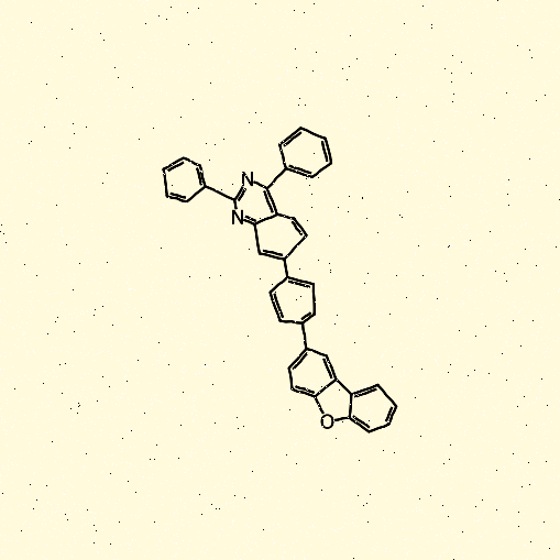 c1ccc(-c2nc(-c3ccccc3)c3ccc(-c4ccc(-c5ccc6oc7ccccc7c6c5)cc4)cc3n2)cc1